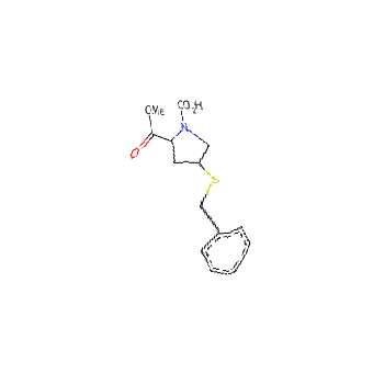 COC(=O)C1CC(SCc2ccccc2)CN1C(=O)O